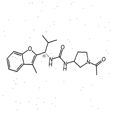 CC(=O)N1CCC(NC(=O)N[C@H](c2oc3ccccc3c2C)C(C)C)C1